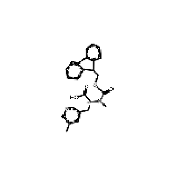 Cc1cncc(C[C@@H](C(=O)O)N(C)C(=O)OCC2c3ccccc3-c3ccccc32)c1